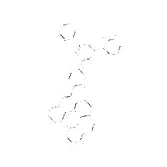 c1ccc(-c2cc(-c3ccccc3)nc(-c3ccc(-c4nc5ccccc5c5c4ccc4ccc6cccnc6c45)cc3)n2)cc1